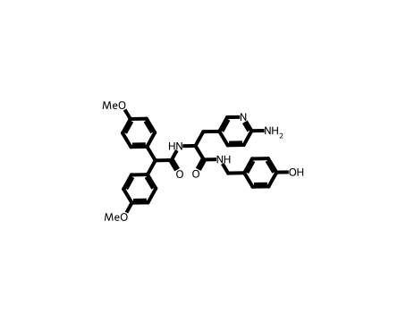 COc1ccc(C(C(=O)NC(Cc2ccc(N)nc2)C(=O)NCc2ccc(O)cc2)c2ccc(OC)cc2)cc1